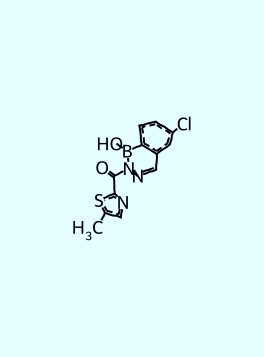 Cc1cnc(C(=O)N2N=Cc3cc(Cl)ccc3B2O)s1